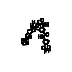 CC1(C)C(=O)Nc2cc(C(=O)Nc3ccc(OC(F)(F)Cl)cc3)cc(-c3cnc4c(c3)-c3nn(-c5ncccn5)cc3C4)c21